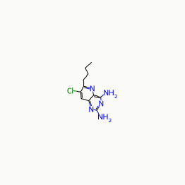 CCCCc1nc2c(N)nc(N)nc2cc1Cl